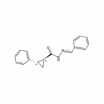 O=C(N/N=C/c1ccccc1)[C@H]1C[C@@H]1c1ccccc1